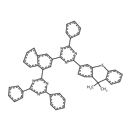 CC1(C)c2ccccc2Sc2cc(-c3nc(-c4ccccc4)nc(-c4cc(-c5nc(-c6ccccc6)nc(-c6ccccc6)n5)c5ccccc5c4)n3)ccc21